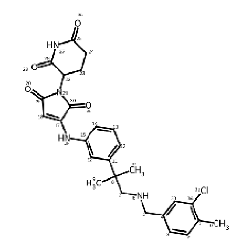 Cc1ccc(CNCC(C)(C)c2cccc(NC3=CC(=O)N(C4CCC(=O)NC4=O)C3=O)c2)cc1Cl